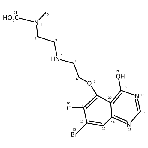 CN(CCNCCOc1c(Cl)c(Br)cc2ncnc(O)c12)C(=O)O